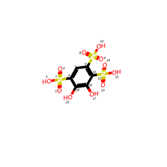 O=S(=O)(O)c1cc(S(=O)(=O)O)c(S(=O)(=O)O)c(O)c1O